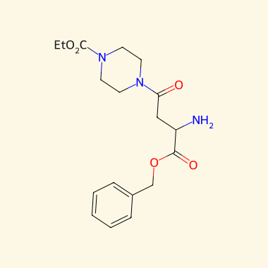 CCOC(=O)N1CCN(C(=O)CC(N)C(=O)OCc2ccccc2)CC1